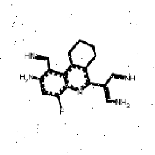 N=C/C(=C\N)c1nc2c(F)cc(N)c(C=N)c2c2c1CCCC2